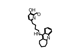 O=Cc1nc(CCCCNc2c3c(nc4ccccc24)CCCCC3)ccc1O